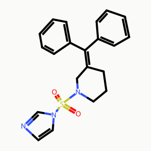 O=S(=O)(N1CCCC(=C(c2ccccc2)c2ccccc2)C1)n1ccnc1